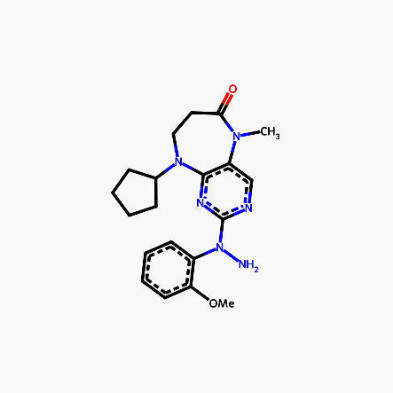 COc1ccccc1N(N)c1ncc2c(n1)N(C1CCCC1)CCC(=O)N2C